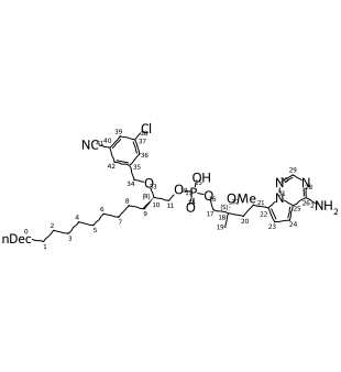 CCCCCCCCCCCCCCCCCCC[C@H](COP(=O)(O)OC[C@](C)(CCc1ccc2c(N)ncnn12)OC)OCc1cc(Cl)cc(C#N)c1